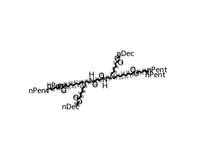 CCCCCCCCCCCOC(=O)CCCCCN(CCCCCCCC(=O)OCCCC(CCCCC)CCCCC)CCNC(=O)/C=C/C(=O)NCCN(CCCCCCCC(=O)OCCCC(CCCCC)CCCCC)CCCCCC(=O)OCCCCCCCCCCC